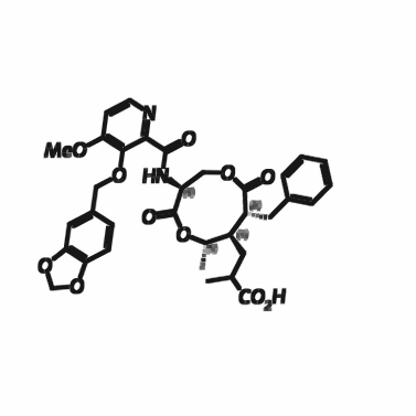 COc1ccnc(C(=O)N[C@H]2COC(=O)[C@H](Cc3ccccc3)[C@@H](CC(C)C(=O)O)[C@H](C)OC2=O)c1OCc1ccc2c(c1)OCO2